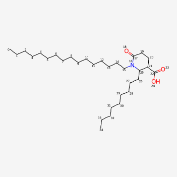 CCCCCCCCCCCCCCCCN1C(=O)CCC(C(=O)O)C1CCCCCCCCC